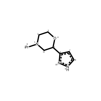 CC(C)N1CCOC(c2cc[nH]n2)C1